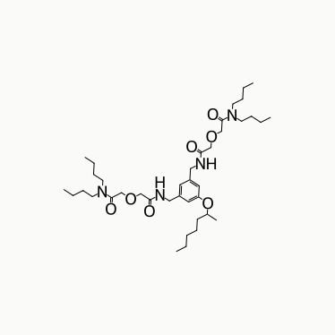 CCCCCC(C)Oc1cc(CNC(=O)COCC(=O)N(CCCC)CCCC)cc(CNC(=O)COCC(=O)N(CCCC)CCCC)c1